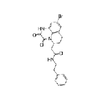 O=C(CC1CCc2cc(Br)cc3[nH]c(=O)c(=O)n1c23)NCCc1ccccc1